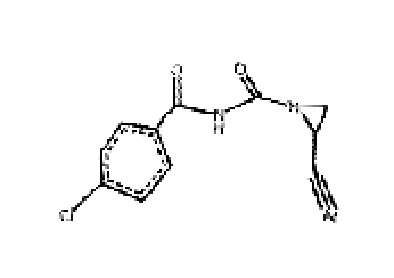 N#CC1CN1C(=O)NC(=O)c1ccc(Cl)cc1